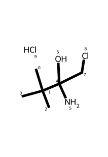 CC(C)(C)C(N)(O)CCl.Cl